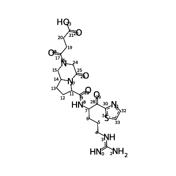 N=C(N)NCCCC(NC(=O)C1CCC2CN(C(=O)CCC(=O)O)CC(=O)N21)C(=O)c1nccs1